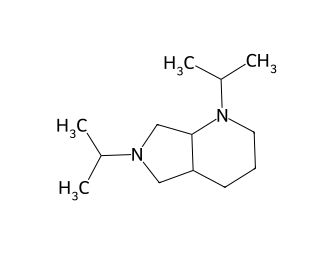 CC(C)N1CC2CCCN(C(C)C)C2C1